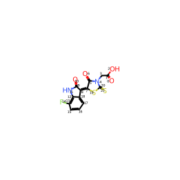 O=C(O)CN1C(=O)/C(=C2\C(=O)Nc3c(F)cccc32)SC1=S